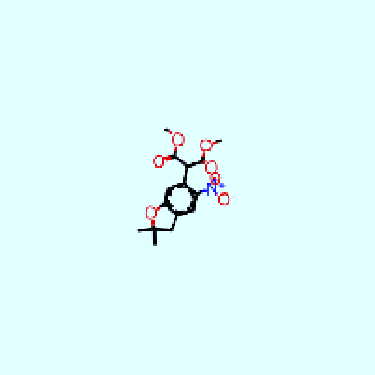 COC(=O)C(C(=O)OC)c1cc2c(cc1[N+](=O)[O-])CC(C)(C)O2